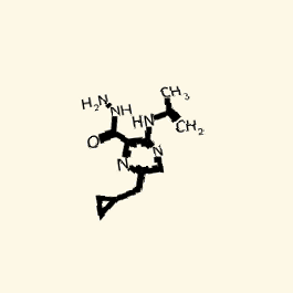 C=C(C)Nc1ncc(CC2CC2)nc1C(=O)NN